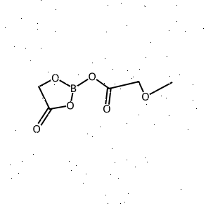 COCC(=O)OB1OCC(=O)O1